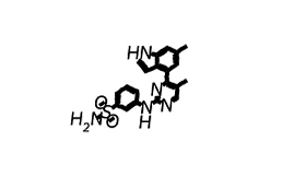 Cc1cc(-c2nc(Nc3cccc(S(N)(=O)=O)c3)ncc2C)c2cc[nH]c2c1